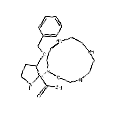 O=C(O)[C@@]1(N2CCNCCNCCNCC2)NCCC1OCc1ccccc1